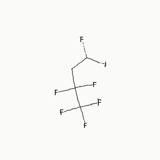 FC(I)CC(F)(F)C(F)(F)F